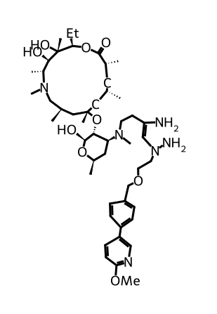 CC[C@H]1OC(=O)[C@H](C)C[C@H](C)C[C@](C)(O[C@H]2[C@H](O)O[C@H](C)C[C@@H]2N(C)CC/C(N)=C/N(N)CCOCc2ccc(-c3ccc(OC)nc3)cc2)C[C@@H](C)CN(C)[C@H](C)[C@@H](O)[C@]1(C)O